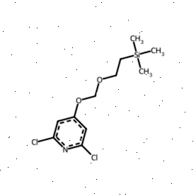 C[Si](C)(C)CCOCOc1cc(Cl)nc(Cl)c1